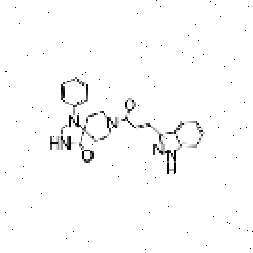 O=C(C=Cc1n[nH]c2ccccc12)N1CCC2(CC1)C(=O)NCN2c1ccccc1